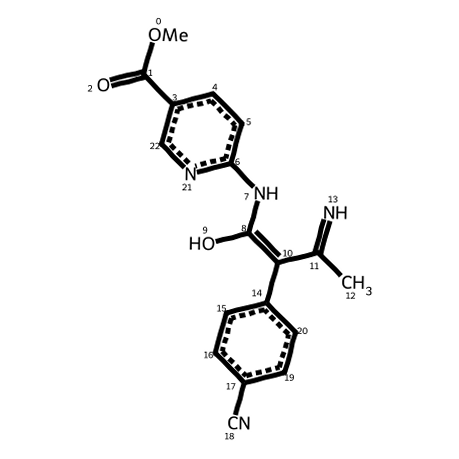 COC(=O)c1ccc(N/C(O)=C(\C(C)=N)c2ccc(C#N)cc2)nc1